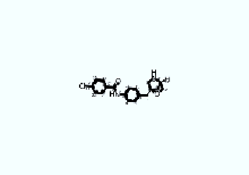 O=C(Nc1ccc(C[C@]23CN[C@H](CO2)C3)cc1)c1ccc(Cl)cc1